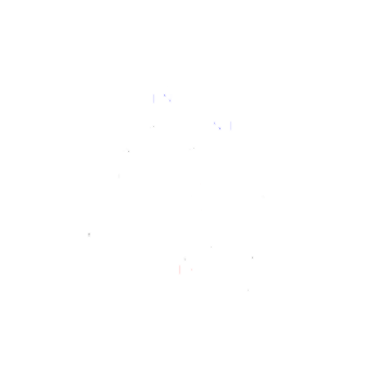 CC(C)CC(C)C(=O)O.O=C1NCN[C@H]1Cc1ccccc1